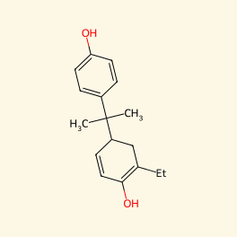 CCC1=C(O)C=CC(C(C)(C)c2ccc(O)cc2)C1